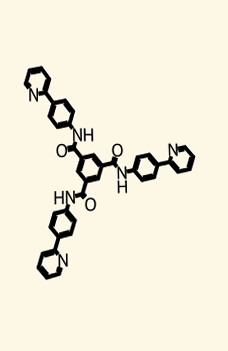 O=C(Nc1ccc(-c2ccccn2)cc1)c1cc(C(=O)Nc2ccc(-c3ccccn3)cc2)cc(C(=O)Nc2ccc(-c3ccccn3)cc2)c1